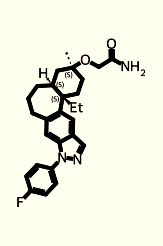 CC[C@]12CC[C@](C)(OCC(N)=O)C[C@@H]1CCCc1cc3c(cnn3-c3ccc(F)cc3)cc12